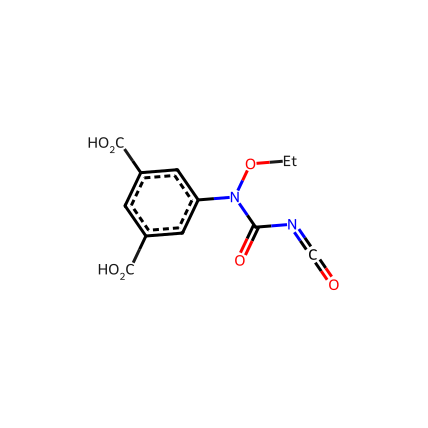 CCON(C(=O)N=C=O)c1cc(C(=O)O)cc(C(=O)O)c1